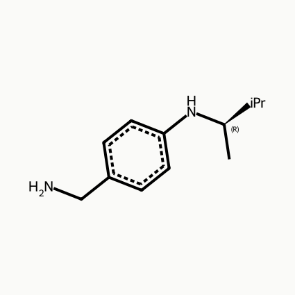 CC(C)[C@@H](C)Nc1ccc(CN)cc1